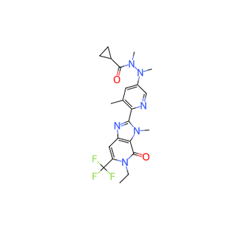 CCn1c(C(F)(F)F)cc2nc(-c3ncc(N(C)N(C)C(=O)C4CC4)cc3C)n(C)c2c1=O